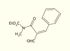 CCOC(=O)N(C)C(=O)C([C]=O)=Cc1ccccc1